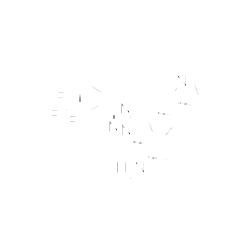 Cc1cc(-c2ncn(/C=C(/C(N)=O)c3ccc(-c4cccnc4)cc3)n2)cc(C(F)(F)F)c1